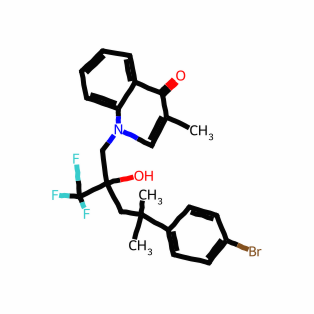 Cc1cn(CC(O)(CC(C)(C)c2ccc(Br)cc2)C(F)(F)F)c2ccccc2c1=O